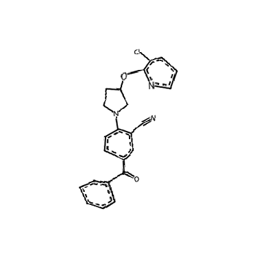 N#Cc1cc(C(=O)c2ccccc2)ccc1N1CCC(Oc2ncccc2Cl)C1